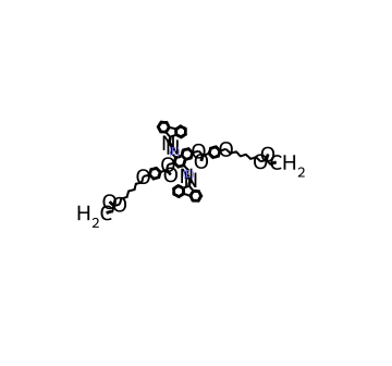 C=CC(=O)OCCCCCCOc1ccc(C(=O)Oc2ccc3c(/C=N/N=C4c5ccccc5-c5ccccc54)c(OC(=O)c4ccc(OCCCCCCOC(=O)C=C)cc4)cc(/C=N/N=C4c5ccccc5-c5ccccc54)c3c2)cc1